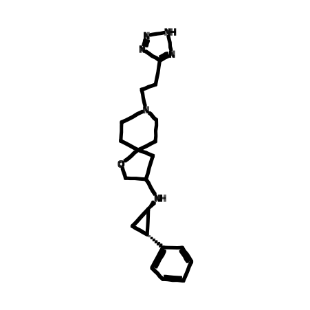 c1ccc([C@@H]2C[C@H]2NC2COC3(CCN(CCc4nn[nH]n4)CC3)C2)cc1